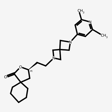 Cc1cc(N2CC3(CN(CC[C@H]4CC5(CCCCC5)C(=O)O4)C3)C2)cc(C)n1